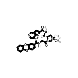 CC(NC(=O)[C@@H]1C[Si](C)(C)CN1C(=O)CNC(=O)c1ccc2c(c1)Oc1ccccc1S2)c1cc2cnccc2[nH]1